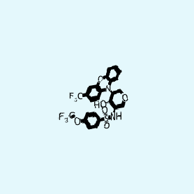 O=S(=O)(N[C@@H]1COC[C@H](N2c3ccccc3Oc3cc(C(F)(F)F)ccc32)[C@H]1O)c1ccc(OC(F)(F)F)cc1